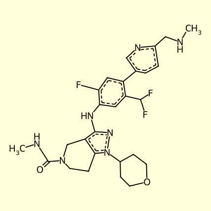 CNCc1ccc(-c2cc(F)c(Nc3nn(C4CCOCC4)c4c3CN(C(=O)NC)CC4)cc2C(F)F)cn1